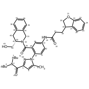 CCCCN(CCCC)C(=O)c1cc(C)n(-c2ccc(NC(=O)CCC3COc4ccccc43)cc2C(=O)N2Cc3ccccc3C[C@H]2CO)n1